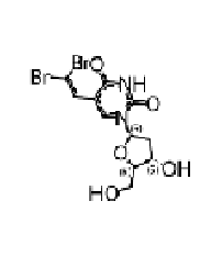 O=c1[nH]c(=O)n([C@H]2C[C@H](O)[C@@H](CO)O2)cc1C=C(Br)Br